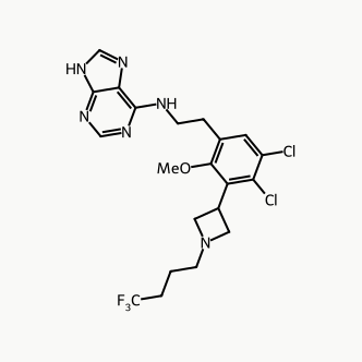 COc1c(CCNc2ncnc3[nH]cnc23)cc(Cl)c(Cl)c1C1CN(CCCC(F)(F)F)C1